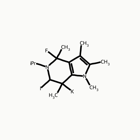 Cc1c2c(n(C)c1C)[C](C)([K])C(I)N(C(C)C)C2(C)F